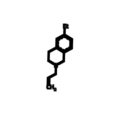 C=CCN1CCc2cc(CC)ccc2C1